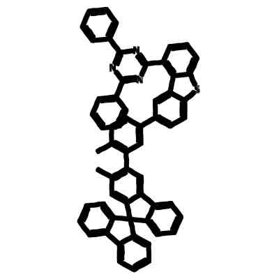 Cc1ccc(-c2ccc3sc4cccc(-c5nc(-c6ccccc6)nc(-c6ccccc6)n5)c4c3c2)cc1-c1cc2c(cc1C)C1(c3ccccc3-c3ccccc31)c1ccccc1-2